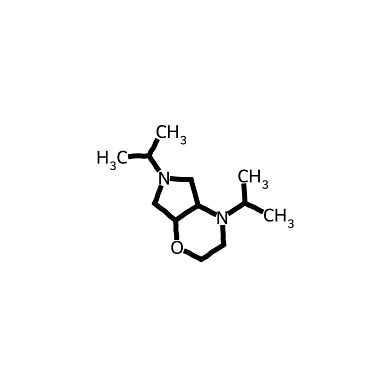 CC(C)N1CC2OCCN(C(C)C)C2C1